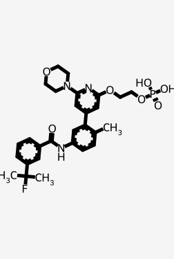 Cc1ccc(NC(=O)c2cccc(C(C)(C)F)c2)cc1-c1cc(OCCOP(=O)(O)O)nc(N2CCOCC2)c1